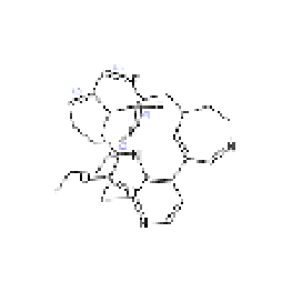 CCC/C=N\c1c(C2=CC(CC3=C/CCC/C=C(C(CCS(C)(=O)=O)C(F)(F)F)/C=C\3)CCN=C2)ccnc1C